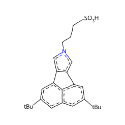 CC(C)(C)c1cc2c3c(cc(C(C)(C)C)cc3c1)-c1cn(CCCS(=O)(=O)O)cc1-2